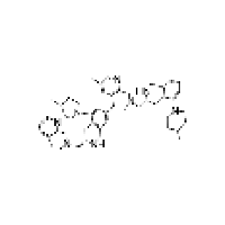 Cc1cnc(CN(C)C[C@H]2Cc3c(cccc3N3CCC(C)CC3)CN2)c(Cc2cc3c(c(N4CCC(C)CC4)c2)C[C@H](CN(C)Cc2ncccc2C)NC3)c1